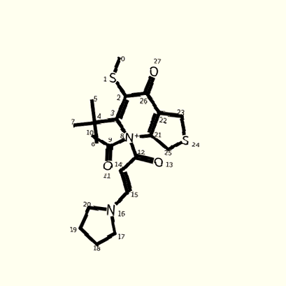 CSC1=C(C(C)(C)C)[N+](C(C)=O)(C(=O)/C=C/N2CCCC2)C2=C(CSC2)C1=O